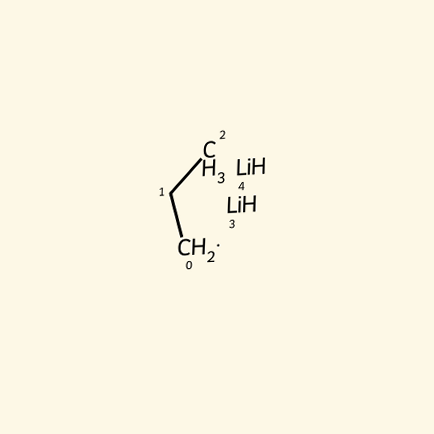 [CH2]CC.[LiH].[LiH]